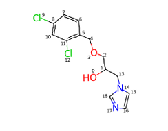 OC(COCc1ccc(Cl)cc1Cl)Cn1ccnc1